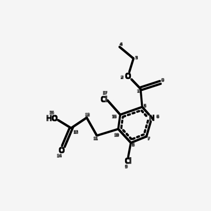 C=C(OCC)c1ncc(Cl)c(CCC(=O)O)c1Cl